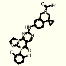 CC(C)C(=O)N1Cc2cc(Nc3ncc4c(=O)n(-c5c(F)cccc5Cl)c5nccn5c4n3)ccc2C2(CC2)C1